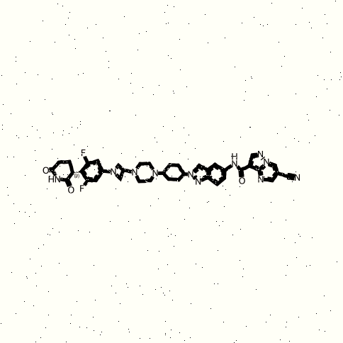 N#Cc1cnc2c(C(=O)Nc3ccc4nn(C5CCC(N6CCN(C7CN(c8cc(F)c([C@H]9CCC(=O)NC9=O)c(F)c8)C7)CC6)CC5)cc4c3)cnn2c1